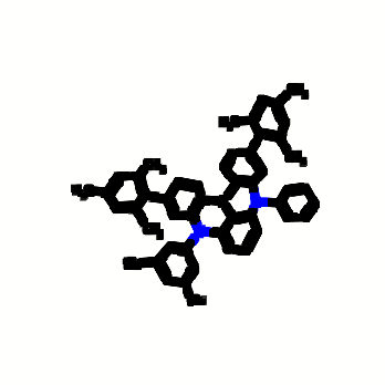 Cc1cc(C)c(-c2ccc3c(c2)N(c2ccccc2)c2cccc4c2B3c2ccc(-c3c(C)cc(C)cc3C)cc2N4c2cc(C(C)(C)C)cc(C(C)(C)C)c2)c(C)c1